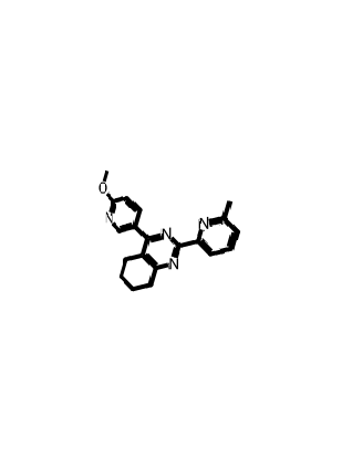 COc1ccc(-c2nc(-c3cccc(C)n3)nc3c2CCCC3)cn1